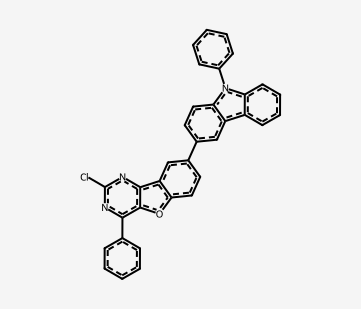 Clc1nc(-c2ccccc2)c2oc3ccc(-c4ccc5c(c4)c4ccccc4n5-c4ccccc4)cc3c2n1